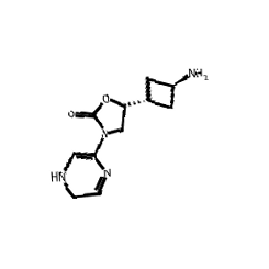 N[C@H]1C[C@H](C2CN(C3=CNCC=N3)C(=O)O2)C1